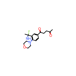 CC(=O)CCC(=O)c1ccc(N2CCOCC2)c(C(C)(N)F)c1